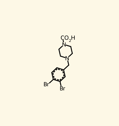 O=C(O)N1CCN(Cc2ccc(Br)c(Br)c2)CC1